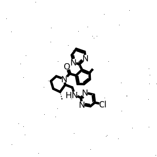 Cc1cccc(C(=O)N2CCC[C@@H](C)C2CNc2ncc(Cl)cn2)c1-c1ncccn1